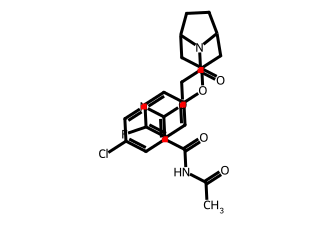 CC(=O)NC(=O)c1cc(Cl)cnc1OCC(=O)N1C2CCC1CC(Oc1ccc(F)cc1)C2